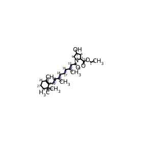 CCOC(=O)C1CC(O)CN1C(=O)/C=C(C)/C=C/C=C(C)/C=C/C1=C(C)CCCC1(C)C